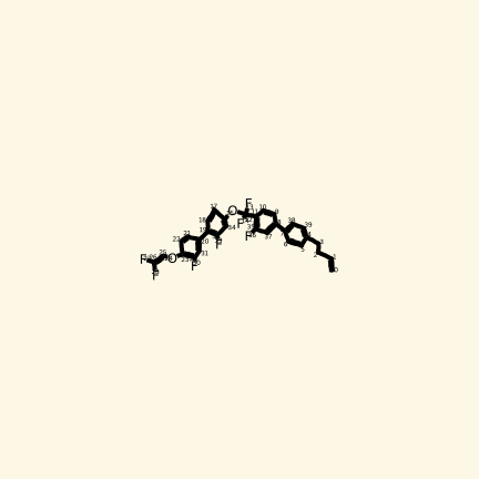 C=CCCc1ccc(-c2ccc(C(F)(F)Oc3ccc(-c4ccc(OC=C(F)F)c(F)c4)c(F)c3)c(F)c2)cc1